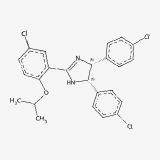 CC(C)Oc1ccc(Cl)cc1C1=N[C@H](c2ccc(Cl)cc2)[C@H](c2ccc(Cl)cc2)N1